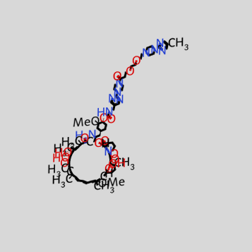 CO[C@H]1C[C@@H]2CC[C@@H](C)[C@@](O)(O2)C(=O)C(=O)N2CCCC[C@H]2C(=O)O[C@H]([C@H](N)C[C@@H]2CC[C@@H](OC(=O)NCc3cnc(N4CCN(C(=O)CCOCCOCCN5CCN(c6ncc(C)cn6)CC5)CC4)nc3)[C@H](OC)C2)CC(=O)[C@H](C)/C=C(\C)[C@@H](O)[C@@H](O)C(=O)[C@H](C)C[C@H](C)/C=C/C=C/C=C/1C